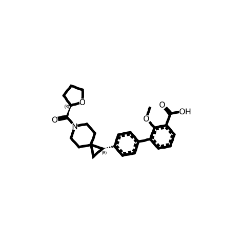 COc1c(C(=O)O)cccc1-c1ccc([C@@H]2CC23CCN(C(=O)[C@H]2CCCO2)CC3)cc1